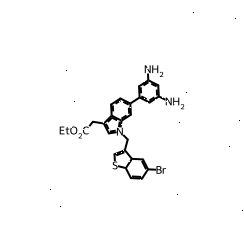 CCOC(=O)Cc1cn(CC2=CSC3C=CC(Br)=CC23)c2cc(-c3cc(N)cc(N)c3)ccc12